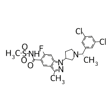 Cc1nn(C2CCN([C@@H](C)c3cc(Cl)cc(Cl)c3)C2)c2cc(F)c(C(=O)NS(C)(=O)=O)cc12